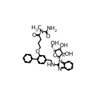 CN(C(N)=O)C(=O)CCCOc1cc(CNc2nc3ccccc3n2[C@@H]2O[C@H](CO)[C@@H](O)[C@H]2O)ccc1-c1ccccc1